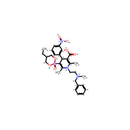 CCC1COP(=O)(C2=C(C)N(CCN(C)Cc3ccccc3)C(C)=C(C(=O)O)C2c2cccc([N+](=O)[O-])c2)OC1